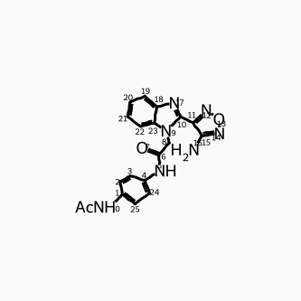 CC(=O)Nc1ccc(NC(=O)Cn2c(-c3nonc3N)nc3ccccc32)cc1